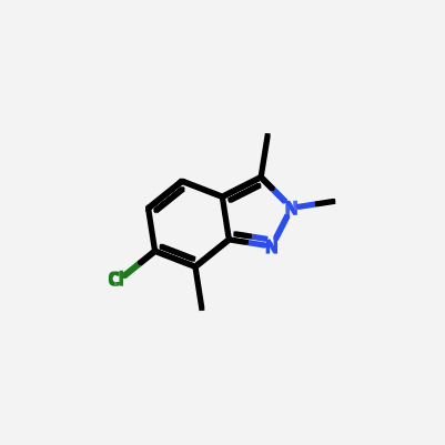 Cc1c(Cl)ccc2c(C)n(C)nc12